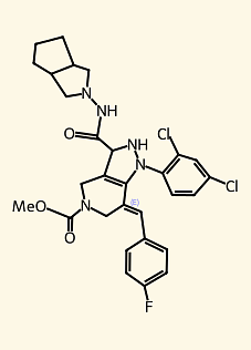 COC(=O)N1CC2=C(/C(=C/c3ccc(F)cc3)C1)N(c1ccc(Cl)cc1Cl)NC2C(=O)NN1CC2CCCC2C1